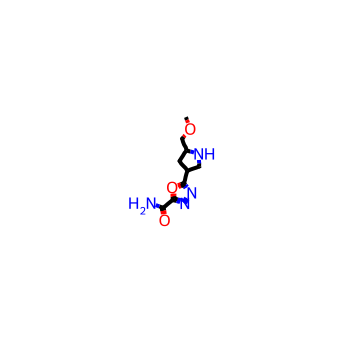 COCC1CC(c2nnc(C(N)=O)o2)CN1